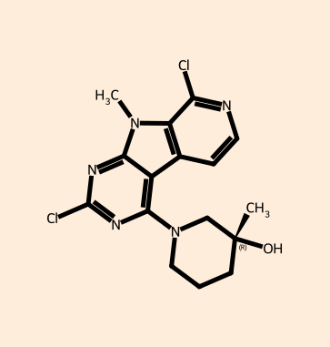 Cn1c2nc(Cl)nc(N3CCC[C@@](C)(O)C3)c2c2ccnc(Cl)c21